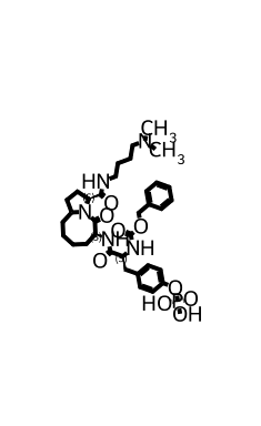 CN(C)CCCCNC(=O)[C@@H]1CCC2CCCC[C@H](NC(=O)[C@H](Cc3ccc(OP(=O)(O)O)cc3)NC(=O)OCc3ccccc3)C(=O)N21